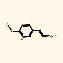 CCOc1ccc(/C=C/C(=O)O)cn1